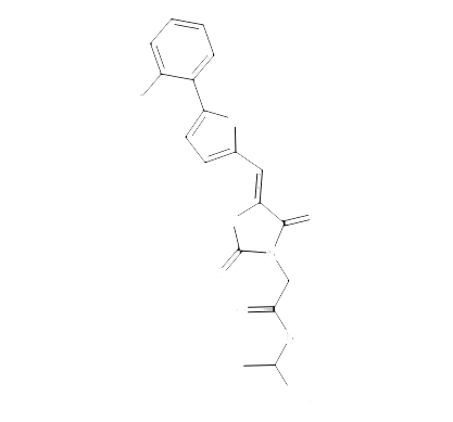 CC(NC(=O)CN1C(=O)/C(=C/c2ccc(-c3ccccc3Cl)o2)SC1=S)C(=O)O